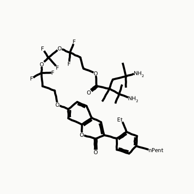 CCCCCc1ccc(-c2cc3ccc(OCCC(F)(F)OC(F)(F)OC(F)(F)CCOC(=O)C(C)(CC(C)(C)N)C(C)(C)N)cc3oc2=O)c(CC)c1